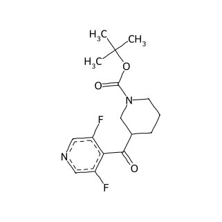 CC(C)(C)OC(=O)N1CCCC(C(=O)c2c(F)cncc2F)C1